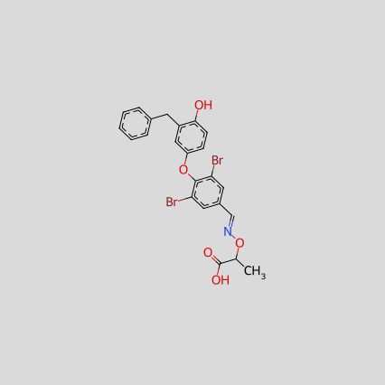 CC(ON=Cc1cc(Br)c(Oc2ccc(O)c(Cc3ccccc3)c2)c(Br)c1)C(=O)O